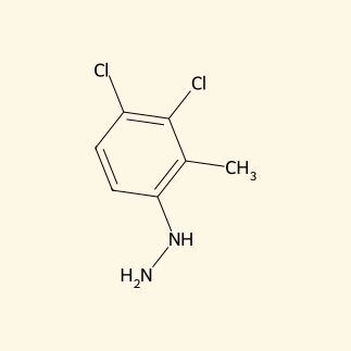 Cc1c(NN)ccc(Cl)c1Cl